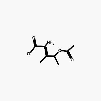 CC(=O)OC(C)/C(C)=C(\N)C(=O)Cl